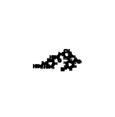 CN(CC(=O)NC1=N/C(=C/C=N)NC=C1)CC1(c2cc(Br)ccc2C=O)CC1